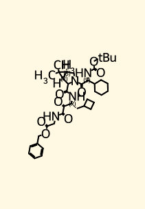 CC(C)(C)OC(=O)N[C@H](C(=O)N1C[C@H]2[C@@H](C1C(=O)N[C@H](CC1CCC1)C(=O)C(=O)NCC(=O)OCc1ccccc1)C2(C)C)C1CCCCC1